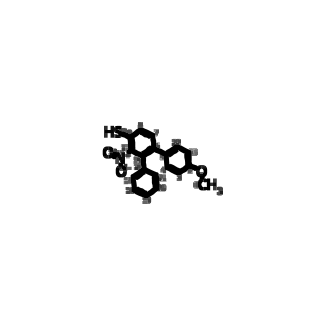 COc1ccc(-c2ccc(S)c([N+](=O)[O-])c2-c2ccccc2)cc1